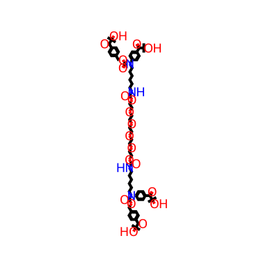 CC(C)(O)C(=O)c1ccc(COC(=O)N(CCCCCCNC(=O)OCCOCCOCCOCCOCCOC(=O)NCCCCCCN(C(=O)OCc2ccc(C(=O)C(C)(C)O)cc2)c2ccc(C(=O)C(C)(C)O)cc2)c2ccc(C(=O)C(C)(C)O)cc2)cc1